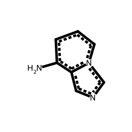 Nc1cccn2cncc12